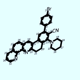 N#Cc1c(-c2ccc(Br)cc2)cc2c(c1N1CCCCC1)CCc1nc3c(ccc4cccnc43)cc1-2